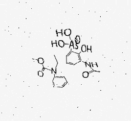 CC(=O)Nc1cccc([As](=O)(O)O)c1O.CCN(C(=O)OC)c1ccccc1